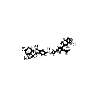 O=C1CCC(N2C(=O)c3ccc(NC[C@H]4C[C@H](n5cc(-c6cc7[nH]ncc7cn6)c(C6CC6)n5)C4)cc3C2=O)C(=O)N1